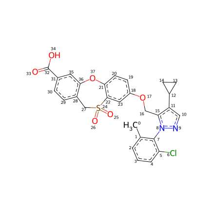 Cc1cccc(Cl)c1-n1ncc(C2CC2)c1COc1ccc2c(c1)S(=O)(=O)Cc1ccc(C(=O)O)cc1O2